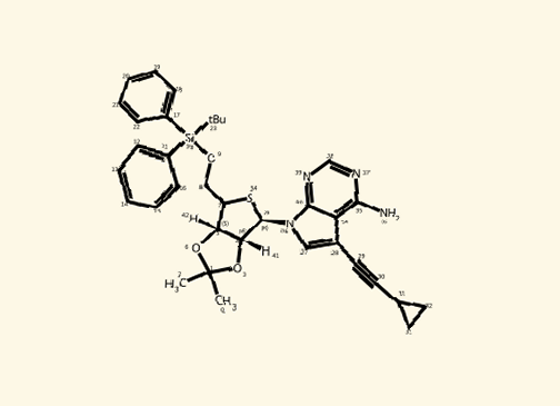 CC1(C)O[C@@H]2[C@H](O1)C(CO[Si](c1ccccc1)(c1ccccc1)C(C)(C)C)S[C@H]2n1cc(C#CC2CC2)c2c(N)ncnc21